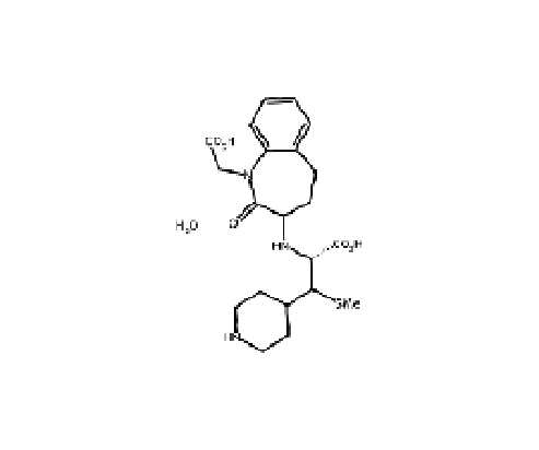 CSC(C1CCNCC1)[C@H](NC1CCc2ccccc2N(CC(=O)O)C1=O)C(=O)O.O